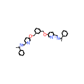 C[C@@H](/N=C/c1ccc(OCc2cccc(COc3ccc(/C=N/[C@H](C)c4ccccc4)nc3)c2)cn1)c1ccccc1